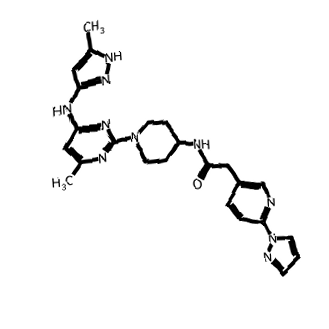 Cc1cc(Nc2cc(C)[nH]n2)nc(N2CCC(NC(=O)Cc3ccc(-n4cccn4)nc3)CC2)n1